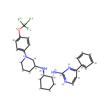 FC(F)(F)Oc1ccc(N2CCCC(N[C@@H]3CCCC[C@H]3Nc3nccc(-c4ccccc4)n3)C2)cc1